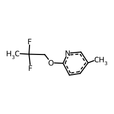 Cc1ccc(OCC(C)(F)F)nc1